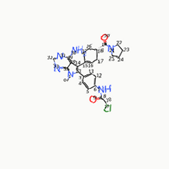 Cn1c(-c2ccc(NC(=O)CCl)cc2)c(C2=CC[C@@H](C(=O)N3CCCC3)CC2)c2c(N)ncnc21